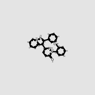 O=c1ccc(-c2c(-c3ccccc3)nn3ccccc23)nn1-c1ccccc1Cl